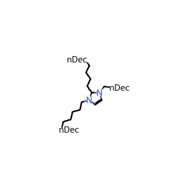 CCCCCCCCCCCCCCCN1C=CN(CCCCCCCCCCC)C1CCCCCCCCCCCCCC